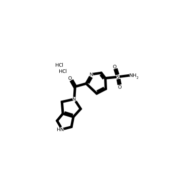 Cl.Cl.NS(=O)(=O)c1ccc(C(=O)N2CC3=C(CNC3)C2)nc1